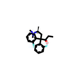 CCC(=O)C(C[C@H](C)N(C)C)(c1ccccc1F)c1ccccc1F